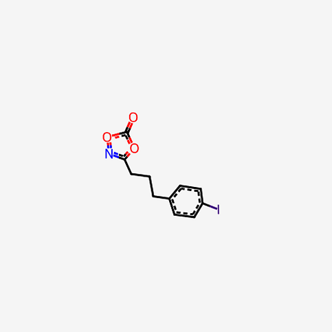 O=c1onc(CCCc2ccc(I)cc2)o1